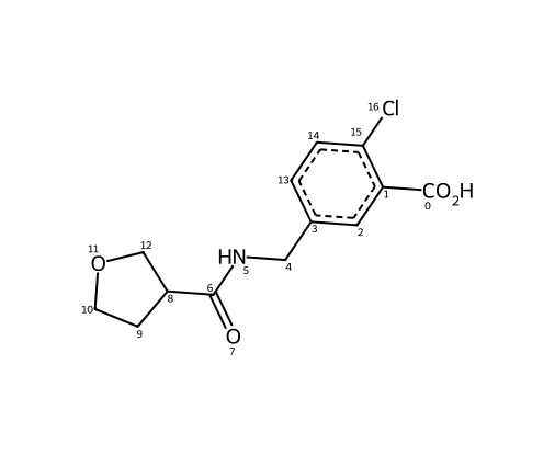 O=C(O)c1cc(CNC(=O)C2CCOC2)ccc1Cl